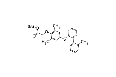 Cc1ccccc1-c1ccccc1Sc1cc(C)c(OCC(=O)OC(C)(C)C)c(C)c1